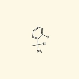 CCC(C)(N)c1ccccc1F